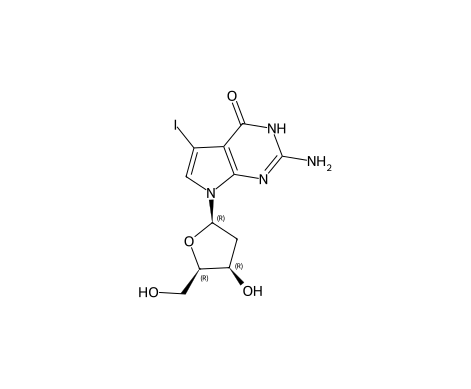 Nc1nc2c(c(I)cn2[C@H]2C[C@@H](O)[C@@H](CO)O2)c(=O)[nH]1